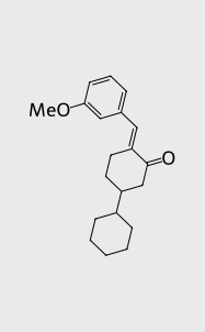 COc1cccc(C=C2CCC(C3CCCCC3)CC2=O)c1